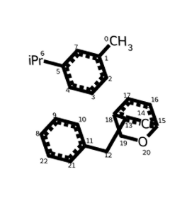 Cc1cccc(C(C)C)c1.c1ccc(Cc2cc3ccc2CO3)cc1